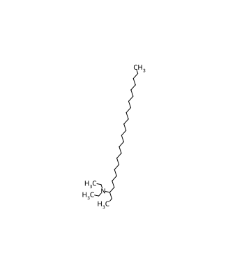 CCCCCCCCCCCCCCCCCCCCCCC(CC)N(CC)CC